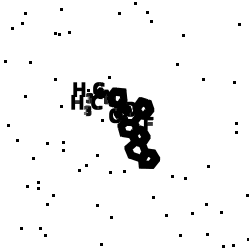 CC(C)N1C=CC=C(S(=O)(=O)C2CCc3c(ccc4c3CCc3ccccc3-4)C2c2ccccc2F)C1